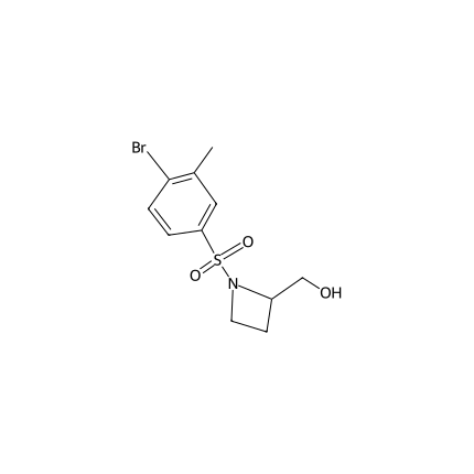 Cc1cc(S(=O)(=O)N2CCC2CO)ccc1Br